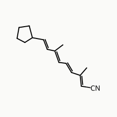 CC(/C=C/C=C(C)/C=C/C1CCCC1)=C\C#N